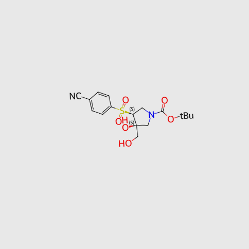 CC(C)(C)OC(=O)N1C[C@H](S(=O)(=O)c2ccc(C#N)cc2)[C@@](O)(CO)C1